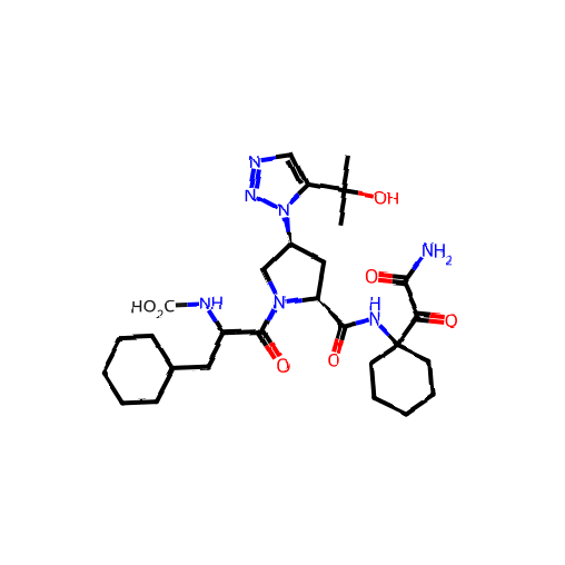 CC(C)(O)c1cnnn1[C@H]1C[C@@H](C(=O)NC2(C(=O)C(N)=O)CCCCC2)N(C(=O)C(CC2CCCCC2)NC(=O)O)C1